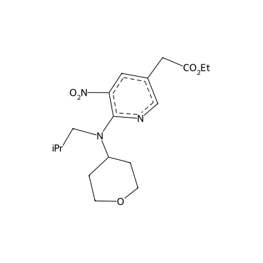 CCOC(=O)Cc1cnc(N(CC(C)C)C2CCOCC2)c([N+](=O)[O-])c1